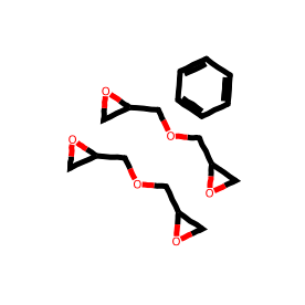 C(OCC1CO1)C1CO1.C(OCC1CO1)C1CO1.c1ccccc1